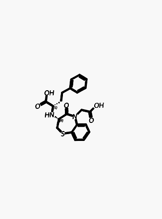 O=C(O)CN1C(=O)[C@@H](N[C@@H](CCc2ccccc2)C(=O)O)CSc2ccccc21